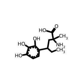 CCC(CC(C)(N)C(=O)O)c1ccc(O)c(O)c1O